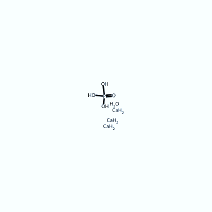 O.O=P(O)(O)O.[CaH2].[CaH2].[CaH2]